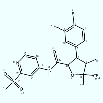 CC1C(c2ccc(F)c(F)c2)C(C(=O)Nc2ccnc(S(C)(=O)=O)c2)OC1(C)C(F)(F)F